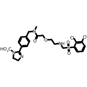 CN(Cc1ccc(C2=NCCN2C(=O)O)cc1)C(=O)COCCNCS(=O)(=O)c1cccc(Cl)c1Cl